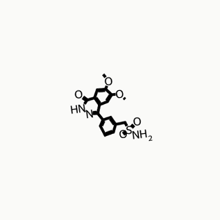 COc1cc2c(-c3cccc(CS(N)(=O)=O)c3)n[nH]c(=O)c2cc1OC